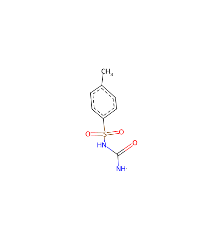 Cc1ccc(S(=O)(=O)NC([NH])=O)cc1